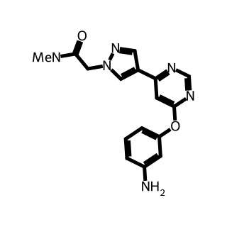 CNC(=O)Cn1cc(-c2cc(Oc3cccc(N)c3)ncn2)cn1